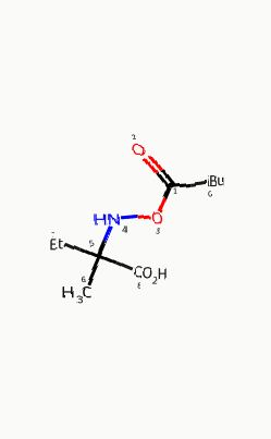 CCC(C)C(=O)ONC(C)(CC)C(=O)O